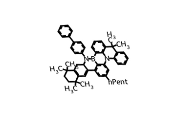 CCCCCc1cc2c3c(c1)N1c4ccccc4C(C)(C)c4cccc(c41)B3N(c1ccc(-c3ccccc3)cc1)C1CC3=C(C=C21)C(C)(C)CCC3(C)C